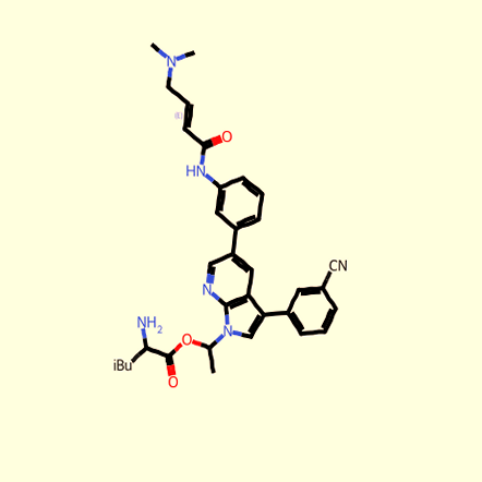 CCC(C)C(N)C(=O)OC(C)n1cc(-c2cccc(C#N)c2)c2cc(-c3cccc(NC(=O)/C=C/CN(C)C)c3)cnc21